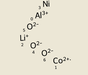 [Al+3].[Co+2].[Li+].[Ni].[O-2].[O-2].[O-2]